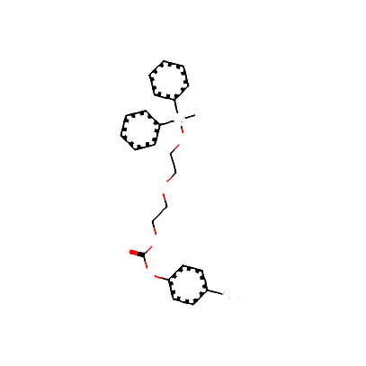 CC(C)(C)[Si](OCCOCCOC(=O)Oc1ccc([N+](=O)[O-])cc1)(c1ccccc1)c1ccccc1